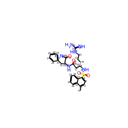 Cc1ccc(S(=O)(=O)N[C@@H](CCCNC(=N)N)CC(=O)N[C@@H](Cc2ccccc2)C(N)=O)c2ccccc12